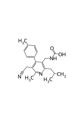 Cc1ccc(-c2c(CC#N)c(C)nc(CC(C)C)c2CNC(=O)O)cc1